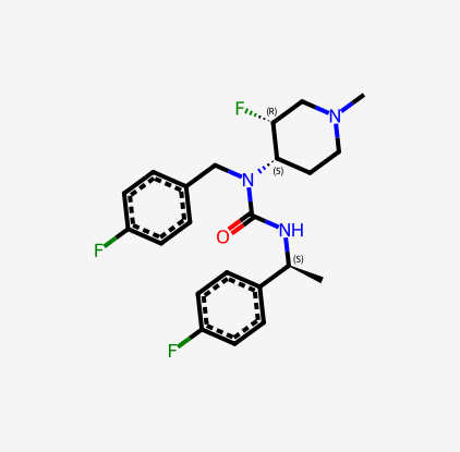 C[C@H](NC(=O)N(Cc1ccc(F)cc1)[C@H]1CCN(C)C[C@H]1F)c1ccc(F)cc1